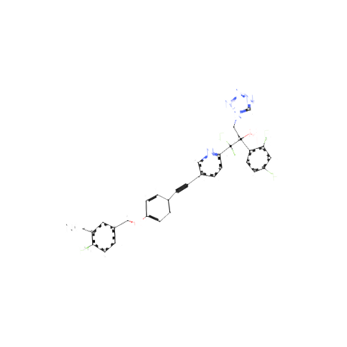 N#Cc1cc(COC2=CCC(C#Cc3ccc(C(F)(F)C(O)(Cn4cnnn4)c4ccc(F)cc4F)nc3)C=C2)ccc1F